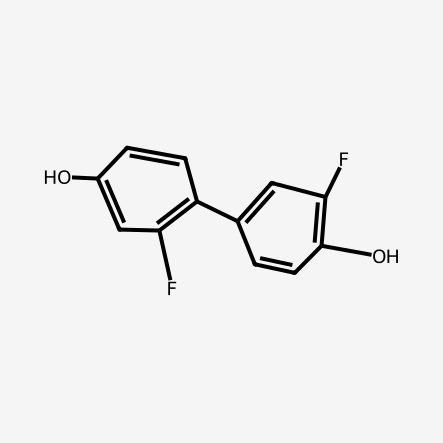 Oc1ccc(-c2ccc(O)c(F)c2)c(F)c1